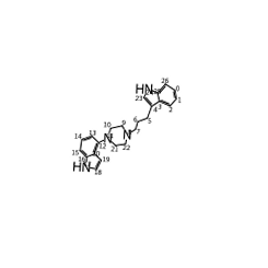 c1ccc2c(CCCN3CCN(c4cccc5[nH]ccc45)CC3)c[nH]c2c1